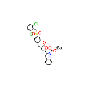 CC(C)(C)OC(=O)N[C@@H](Cc1ccccc1)[C@@H]1C[C@@H](Cc2ccc(S(=O)(=O)Cc3c(Cl)cccc3Cl)cc2)C(=O)O1